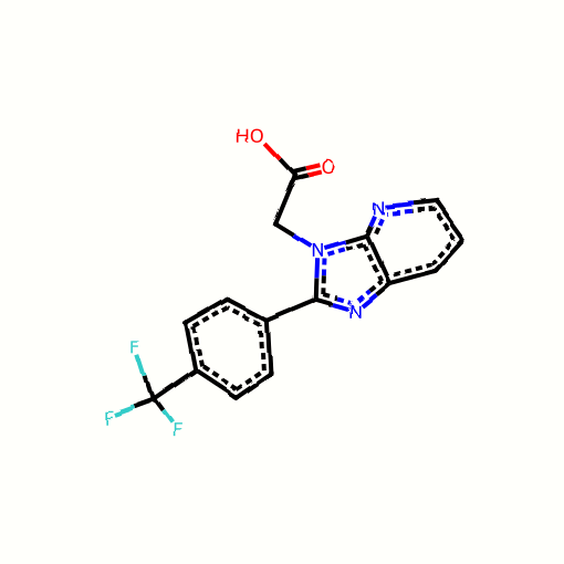 O=C(O)Cn1c(-c2ccc(C(F)(F)F)cc2)nc2cccnc21